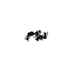 COC(=O)[C@@H]1CCCN(C(=O)[C@H](C)NC(=O)[C@@H](NC(=O)OC2(/C=C/c3ccc4ccc([C@@H](C)OC(C)=O)nc4c3)COC(C)(C)OC2)C(C)C)N1